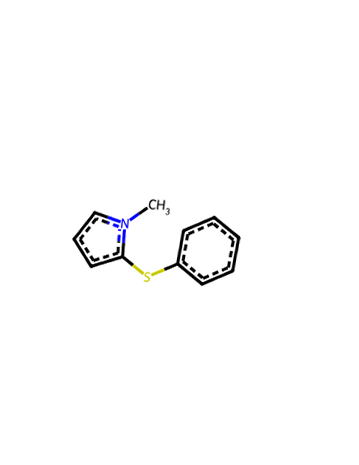 Cn1cccc1Sc1ccccc1